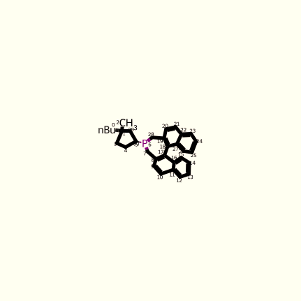 CCCCC1(C)CC[C@@H](P2Cc3ccc4ccccc4c3-c3c(ccc4ccccc34)C2)C1